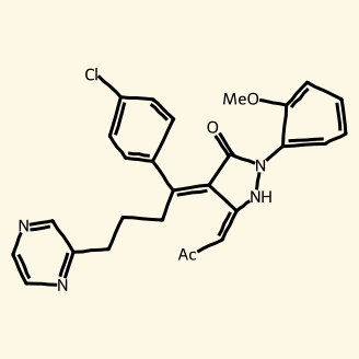 COc1ccccc1-n1[nH]c(=C/C(C)=O)/c(=C(\CCCc2cnccn2)c2ccc(Cl)cc2)c1=O